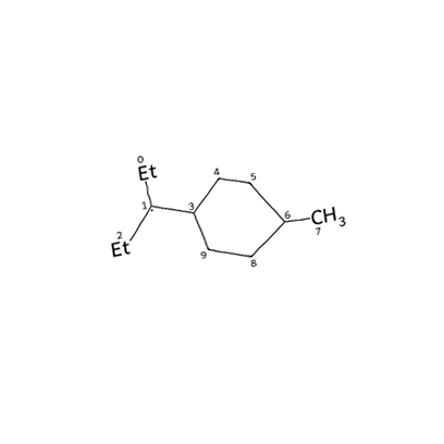 CC[C](CC)C1CCC(C)CC1